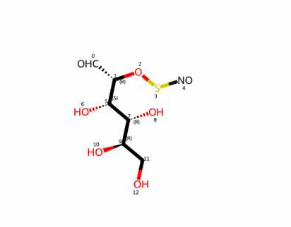 O=C[C@H](OSN=O)[C@@H](O)[C@H](O)[C@H](O)CO